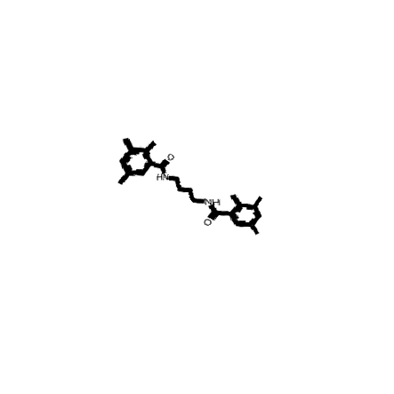 Cc1cc(C)c(C)c(C(=O)NCCCCNC(=O)c2cc(C)cc(C)c2C)c1